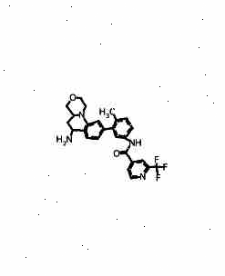 Cc1ccc(NC(=O)c2ccnc(C(F)(F)F)c2)cc1-c1ccc2c(c1)N1CCOCC1CC2N